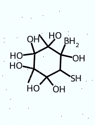 BC1(O)C(S)C(O)(O)C(C)(O)C(O)(O)C1(C)O